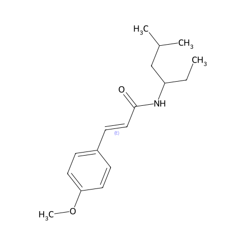 CCC(CC(C)C)NC(=O)/C=C/c1ccc(OC)cc1